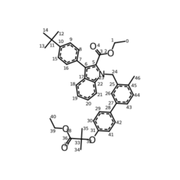 CCOC(=O)c1c(-c2ccc(C(C)(C)C)cc2)c2ccccc2n1Cc1cc(-c2ccc(OC(C)(C)C(=O)OCC)cc2)ccc1C